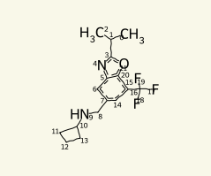 CC(C)c1nc2cc(CNC3CCC3)cc(C(F)(F)F)c2o1